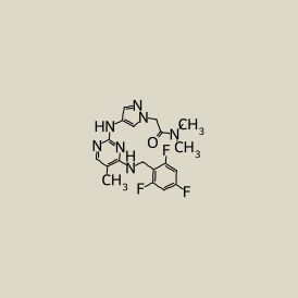 Cc1cnc(Nc2cnn(CC(=O)N(C)C)c2)nc1NCc1c(F)cc(F)cc1F